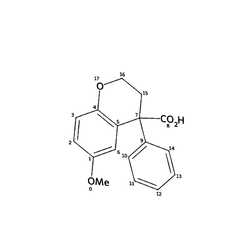 COc1ccc2c(c1)C(C(=O)O)(c1ccccc1)CCO2